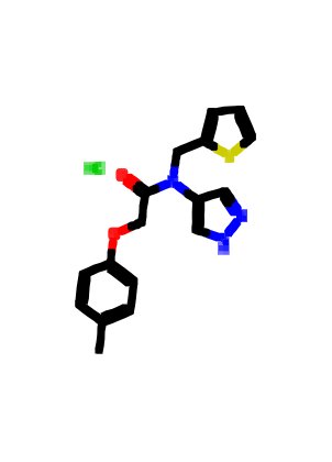 Cc1ccc(OCC(=O)N(Cc2cccs2)c2cn[nH]c2)cc1.Cl